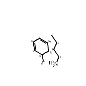 CCCCN.F[C]1C=CC=CC1